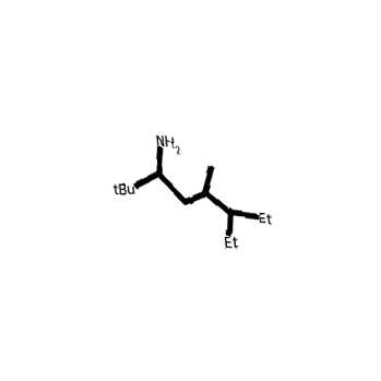 CCC(CC)C(C)CC(N)C(C)(C)C